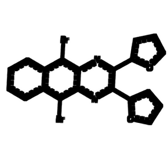 Brc1c2ccccc2c(Br)c2nc(-c3ccco3)c(-c3ccco3)nc12